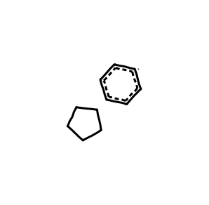 C1CCCC1.[c]1ccccc1